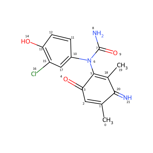 CC1=CC(=O)C(N(C(N)=O)c2ccc(O)c(Cl)c2)=C(C)C1=N